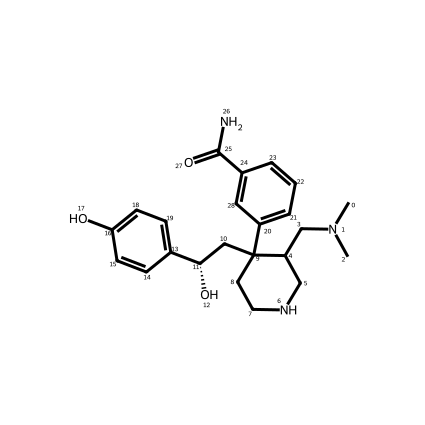 CN(C)CC1CNCCC1(C[C@H](O)c1ccc(O)cc1)c1cccc(C(N)=O)c1